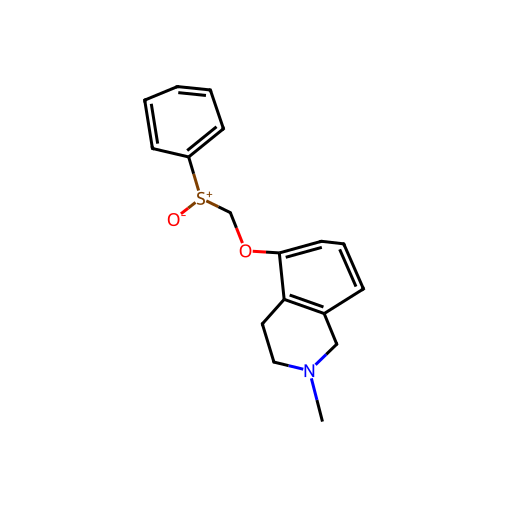 CN1CCc2c(cccc2OC[S+]([O-])c2ccccc2)C1